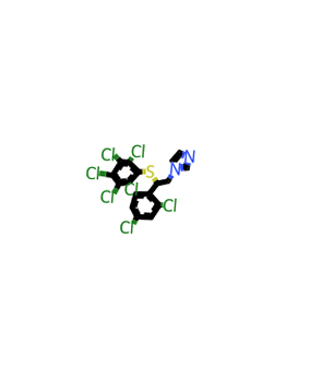 Clc1ccc(C(Cn2ccnc2)Sc2c(Cl)c(Cl)c(Cl)c(Cl)c2Cl)c(Cl)c1